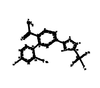 NC(=O)c1ccc(-c2nnc(C(F)(F)F)o2)cc1-c1ccc(F)cc1F